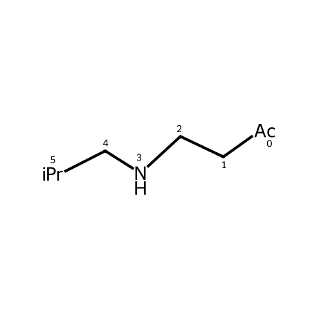 CC(=O)CCNCC(C)C